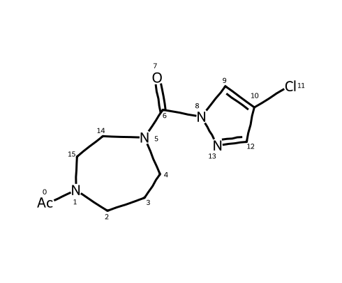 CC(=O)N1CCCN(C(=O)n2cc(Cl)cn2)CC1